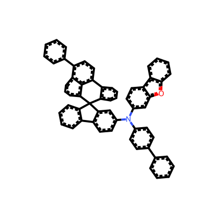 c1ccc(-c2ccc(N(c3ccc4c(c3)C3(c5ccccc5-4)c4ccccc4-c4ccc(-c5ccccc5)c5cccc3c45)c3ccc4c(c3)oc3ccccc34)cc2)cc1